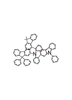 CC1(C)c2ccccc2-c2c(-c3ccccc3N(c3ccc4c(c3)C(c3ccccc3)(c3ccccc3)c3ccccc3-4)c3ccccc3-c3ccc4c5ccccc5n(-c5ccccc5)c4c3)cccc21